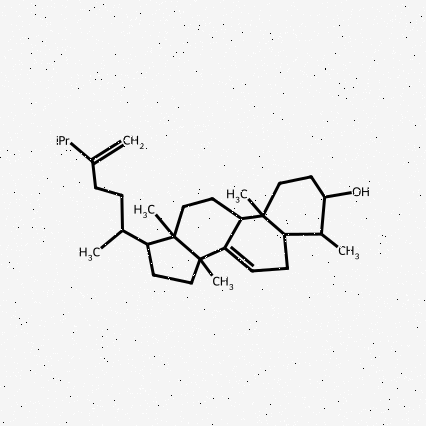 C=C(CCC(C)C1CCC2(C)C3=CCC4C(C)C(O)CCC4(C)C3CCC12C)C(C)C